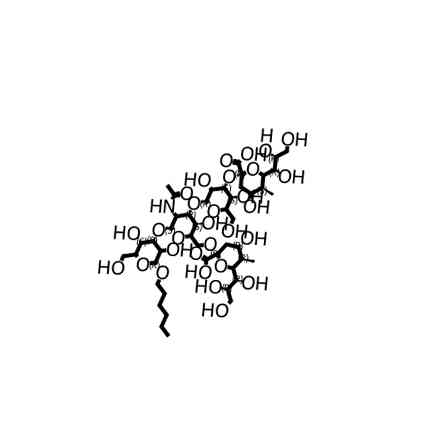 CCCCCCO[C@@H]1OC(CO)[C@H](O)[C@H](O[C@@H]2OC(CO[C@]3(C(=O)O)C[C@@H](O)[C@@H](C)C([C@H](O)[C@H](O)CO)O3)[C@@H](O)[C@H](O[C@@H]3OC(CO)[C@H](O)[C@H](O[C@@]4(C(=O)O)CC(O)[C@H](C)C([C@H](O)[C@H](O)CO)O4)C3O)C2NC(C)=O)C1O